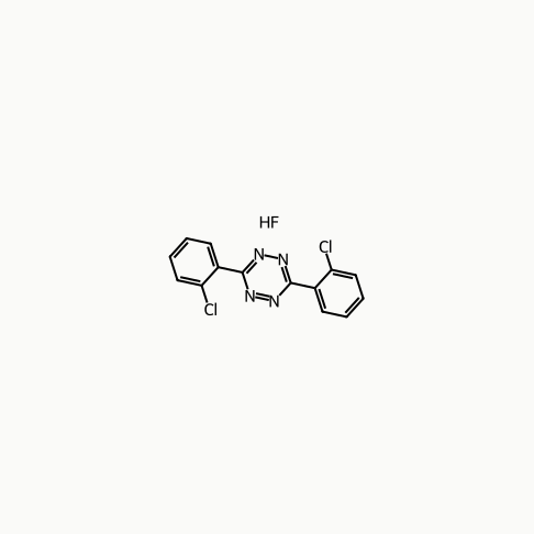 Clc1ccccc1-c1nnc(-c2ccccc2Cl)nn1.F